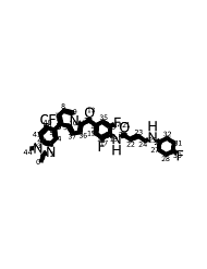 Cc1nc2cc(-c3cccn4c(C(=O)c5cc(F)c(NC(=O)/C=C/CNC6CCC(F)CC6)c(F)c5)ccc34)c(C(F)(F)F)cc2n1C